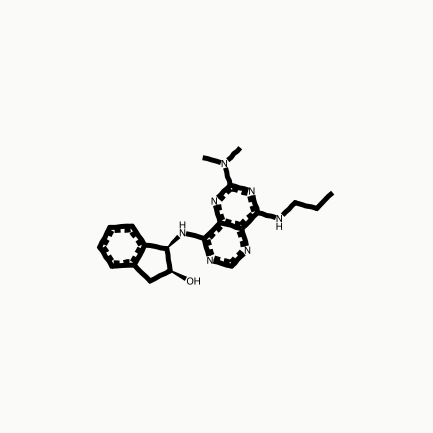 CCCNc1nc(N(C)C)nc2c(N[C@@H]3c4ccccc4C[C@@H]3O)ncnc12